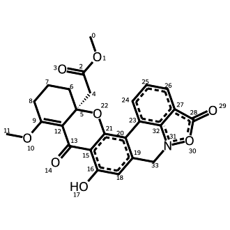 COC(=O)C[C@@]12CCCC(OC)=C1C(=O)c1c(O)cc3c(c1O2)-c1cccc2c(=O)on(c12)C3